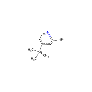 CC(C)c1c[c]([Sn]([CH3])([CH3])[CH3])ccn1